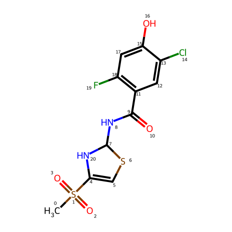 CS(=O)(=O)C1=CSC(NC(=O)c2cc(Cl)c(O)cc2F)N1